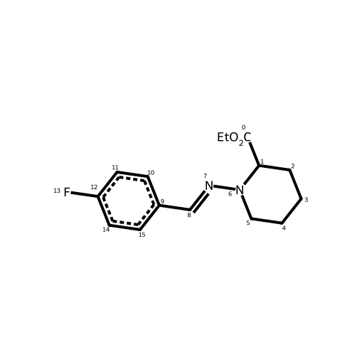 CCOC(=O)C1CCCCN1/N=C/c1ccc(F)cc1